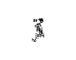 Cc1ncc(NC(=O)OC[C@@H]2CCCN2C)cc1NC(=O)c1cnn2cc(-c3cccnc3O)sc12